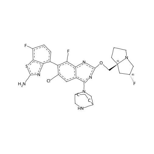 Nc1nc2c(-c3c(Cl)cc4c(N5CC6CCCC5CN6)nc(OC[C@@]56CCCN5C[C@H](F)C6)nc4c3F)ccc(F)c2s1